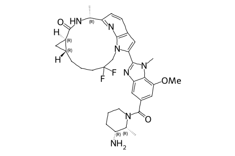 COc1cc(C(=O)N2CCC[C@@H](N)[C@H]2C)cc2nc(-c3cc4ccc5nc4n3CC(F)(F)CCC[C@@H]3C[C@H]3C(=O)N[C@@H]5C)n(C)c12